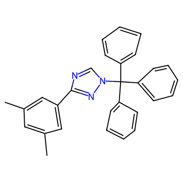 Cc1cc(C)cc(-c2ncn(C(c3ccccc3)(c3ccccc3)c3ccccc3)n2)c1